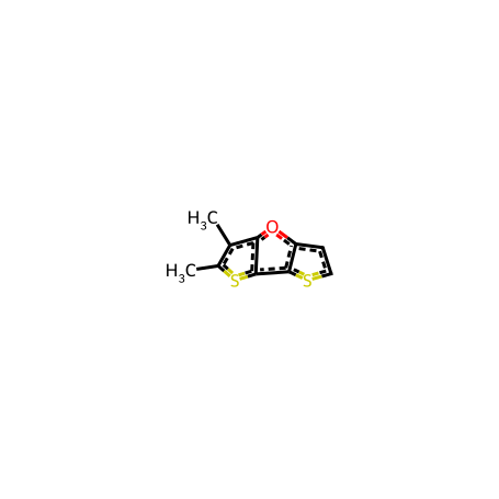 Cc1sc2c(oc3ccsc32)c1C